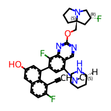 C#Cc1c(F)ccc2cc(O)cc(-c3cc(N4C[C@@H]5CCC4CN5)c4cnc(OC[C@@]56CCCN5C[C@H](F)C6)nc4c3F)c12